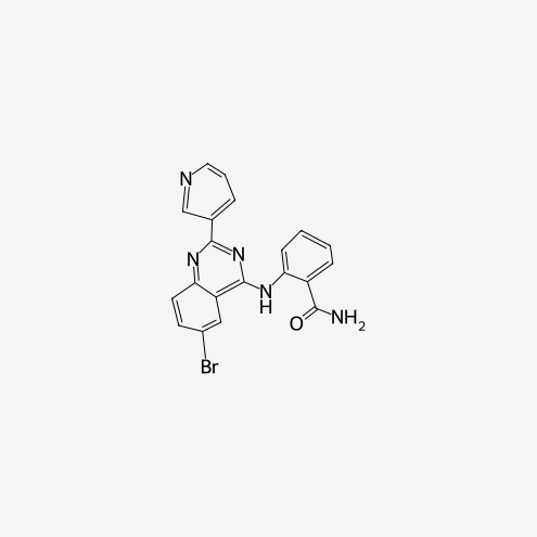 NC(=O)c1ccccc1Nc1nc(-c2cccnc2)nc2ccc(Br)cc12